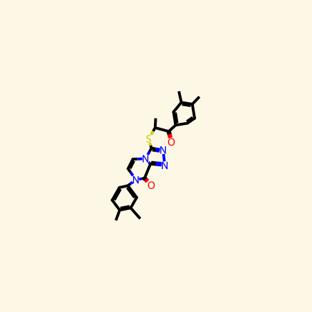 Cc1ccc(C(=O)C(C)Sc2nnc3c(=O)n(-c4ccc(C)c(C)c4)ccn23)cc1C